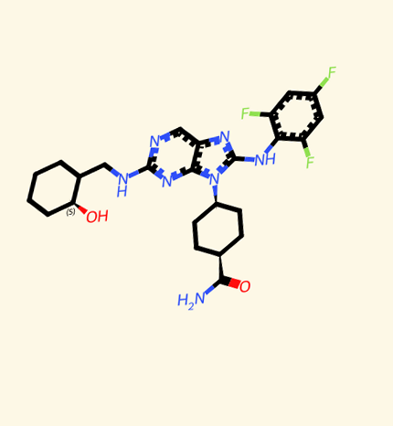 NC(=O)[C@H]1CC[C@@H](n2c(Nc3c(F)cc(F)cc3F)nc3cnc(NCC4CCCC[C@@H]4O)nc32)CC1